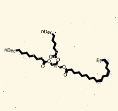 CC/C=C\C/C=C\C/C=C\CCCCCCCC(=O)OC[C@H](COC(=O)CCCCCCCCCCCCCCCCC)OC(=O)CCCCCCCCCCCCCCC